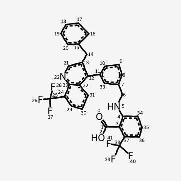 O=C(O)c1c(NCc2cccc(-c3c(Cc4ccccc4)cnc4c(C(F)(F)F)cccc34)c2)cccc1C(F)(F)F